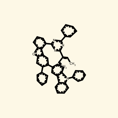 C=C/C(=C\C)c1nc(-c2ccccc2)nc(-c2cccc3oc4cc(-c5ccccc5)c(-c5ccc6c(c5)c5ccccc5n6-c5ccccc5)cc4c23)n1